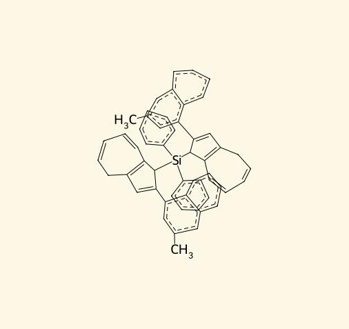 Cc1cc(C2=CC3=C(C=CC=CC3)C2[Si](c2ccccc2)(c2ccccc2)C2C(c3cc(C)cc4ccccc34)=CC3=C2C=CC=CC3)c2ccccc2c1